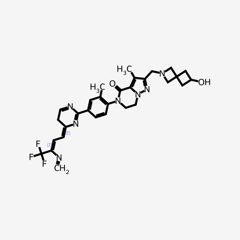 C=N/C(=C\C=C1/CC=NC(c2ccc(N3CCn4nc(CN5CC6(CC(O)C6)C5)c(C)c4C3=O)c(C)c2)=N1)C(F)(F)F